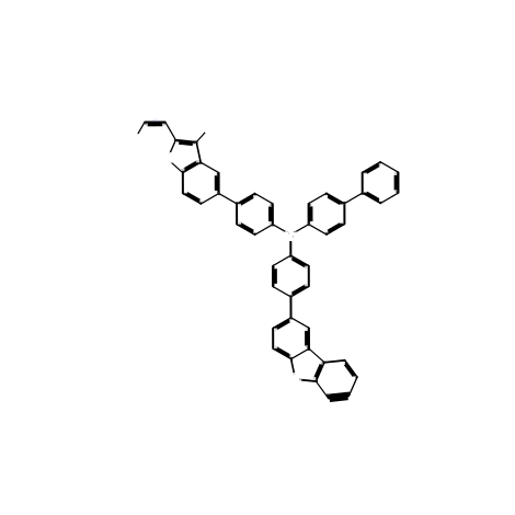 C/C=C\c1sc2ccc(-c3ccc(N(c4ccc(-c5ccccc5)cc4)c4ccc(-c5ccc6oc7c#cccc7c6c5)cc4)cc3)cc2c1C